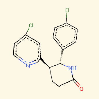 O=C1CC[C@@H](c2cc(Cl)ccn2)[C@H](c2ccc(Cl)cc2)N1